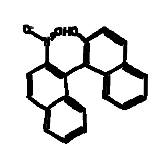 O=[N+]([O-])c1ccc2ccccc2c1-c1c(O)ccc2ccccc12